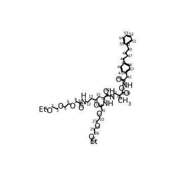 CCOCCOCCOCC(=O)NCCCC[C@H](NC(=O)COCCOCCOCC)C(=O)NC[C@H](C)C(=O)ONC(=O)Cc1ccc(CCCCc2ccccc2)cc1